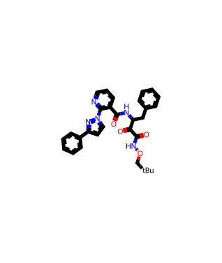 CC(C)(C)CONC(=O)C(=O)C(Cc1ccccc1)NC(=O)c1cccnc1-n1ccc(-c2ccccc2)n1